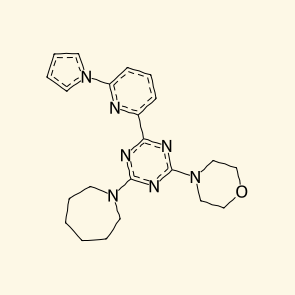 c1cc(-c2nc(N3CCCCCC3)nc(N3CCOCC3)n2)nc(-n2cccc2)c1